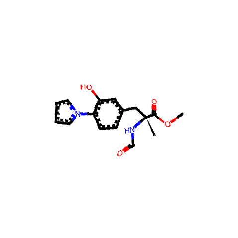 COC(=O)[C@@](C)(Cc1ccc(-n2cccc2)c(O)c1)NC=O